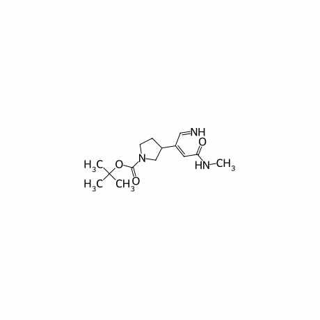 CNC(=O)/C=C(\C=N)C1CCN(C(=O)OC(C)(C)C)C1